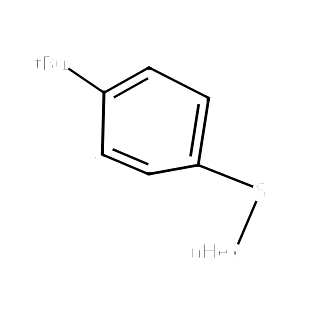 CCCCCCSc1ccc(C(C)(C)C)cc1